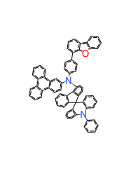 c1ccc(N2c3ccccc3C3(c4ccccc4-c4c(N(c5ccc(-c6cccc7c6oc6ccccc67)cc5)c5ccc6c7ccccc7c7ccccc7c6c5)cccc43)c3ccccc32)cc1